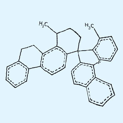 Cc1ccccc1C1(c2ccc3ccccc3c2F)CCC(C)c2c1ccc1c2CCc2ccccc2-1